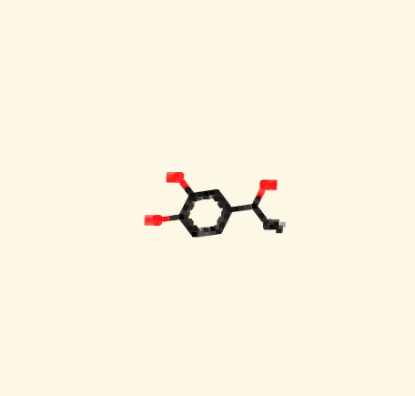 [CH2]C(O)c1ccc(O)c(O)c1